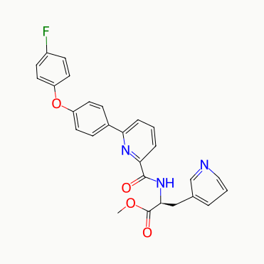 COC(=O)[C@H](Cc1cccnc1)NC(=O)c1cccc(-c2ccc(Oc3ccc(F)cc3)cc2)n1